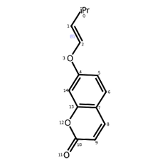 CC(C)/C=C/Oc1ccc2ccc(=O)oc2c1